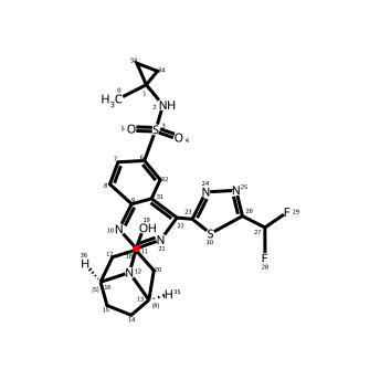 CC1(NS(=O)(=O)c2ccc3nc(N4[C@@H]5CC[C@H]4CC(O)C5)nc(-c4nnc(C(F)F)s4)c3c2)CC1